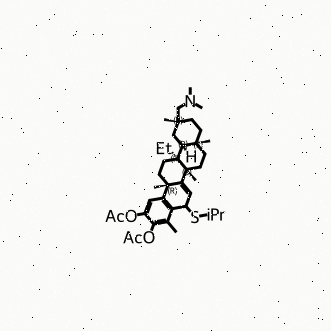 CC[C@@]12CC[C@]3(C)C(=CC(SC(C)C)c4c3cc(OC(C)=O)c(OC(C)=O)c4C)[C@@]1(C)CC[C@@]1(C)CC[C@@](C)(CN(C)C)C[C@H]12